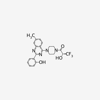 Cc1ccc2c(N3CCN(C(=O)[C@H](O)C(F)(F)F)CC3)nc(-c3ccccc3O)nc2c1